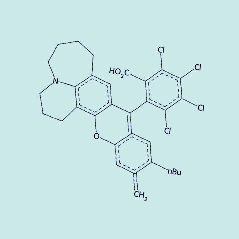 C=c1cc2c(cc1CCCC)=C(c1c(Cl)c(Cl)c(Cl)c(Cl)c1C(=O)O)c1cc3c4c(c1O2)CCCN4CCCC3